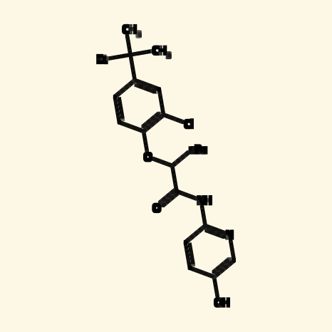 CCCCC(Oc1ccc(C(C)(C)CC)cc1Cl)C(=O)Nc1ccc(O)cn1